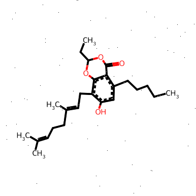 CCCCCc1cc(O)c(C/C=C(\C)CCC=C(C)C)c2c1C(=O)OC(CC)O2